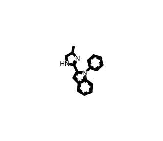 CC1CNC(c2cc3ccccc3n2-c2ccccc2)=N1